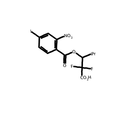 CC(C)C(OC(=O)c1ccc(I)cc1[N+](=O)[O-])C(F)(F)C(=O)O